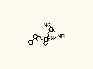 C=C(C)NCCNCc1c(CCc2cncc(C#N)c2)cc(CCc2cccc(-c3ccccc3)c2C)c2c1CCC2